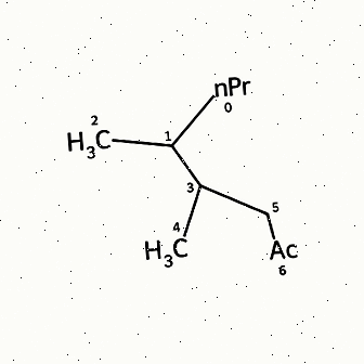 CCCC(C)C(C)CC(C)=O